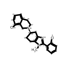 Cn1c(-c2ccccc2Cl)nc2c1CC[C@@H](N1CCc3cccc(Cl)c3C1)C2